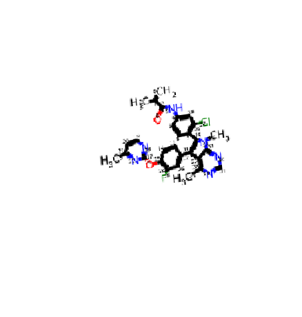 C=C(C)C(=O)Nc1ccc(-c2c(-c3ccc(Oc4nccc(C)n4)c(F)c3)c3c(C)ncnc3n2C)c(Cl)c1